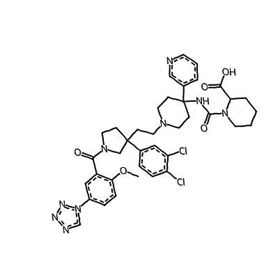 COc1ccc(-n2cnnn2)cc1C(=O)N1CCC(CCN2CCC(NC(=O)N3CCCCC3C(=O)O)(c3cccnc3)CC2)(c2ccc(Cl)c(Cl)c2)C1